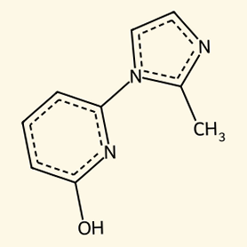 Cc1nccn1-c1cccc(O)n1